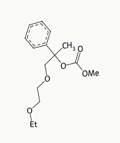 CCOCCOCC(C)(OC(=O)OC)c1ccccc1